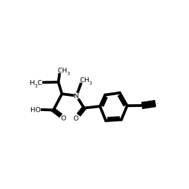 [C]#Cc1ccc(C(=O)N(C)C(C(=O)O)C(C)C)cc1